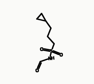 O=CNS(=O)(=O)CCCC1CC1